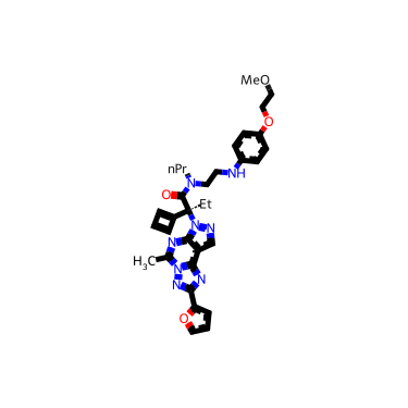 CCCN(CCNc1ccc(OCCOC)cc1)C(=O)[C@](CC)(C1=CC=C1)n1ncc2c1nc(C)n1nc(-c3ccco3)nc21